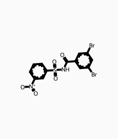 O=C(NS(=O)(=O)c1cccc([N+](=O)[O-])c1)c1cc(Br)cc(Br)c1